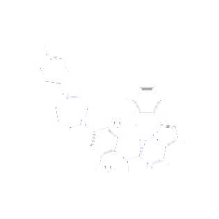 COc1cc(N2CCCN(C3CCN(C)CC3)CC2)ccc1Nc1ncc2ccc(-c3ccccc3OC)n2n1